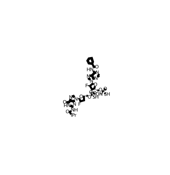 CC(C)C(=O)Nc1nc2c(ncn2[C@@H]2O[C@H](CO[P@@](=O)(S)O[C@H]3[C@@H](F)[C@H](n4cnc5c(NC(=O)c6ccccc6)ncnc54)O[C@@H]3CO[P@@](=O)(S)N=O)C[C@H]2F)c(=O)[nH]1